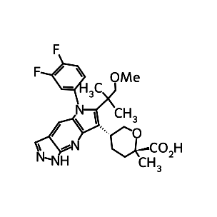 COCC(C)(C)c1c([C@H]2CC[C@](C)(C(=O)O)OC2)c2nc3[nH]ncc3cc2n1-c1ccc(F)c(F)c1